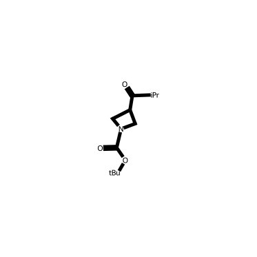 CC(C)C(=O)C1CN(C(=O)OC(C)(C)C)C1